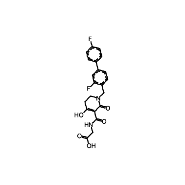 O=C(O)CNC(=O)C1=C(O)CCN(Cc2ccc(-c3ccc(F)cc3)cc2F)C1=O